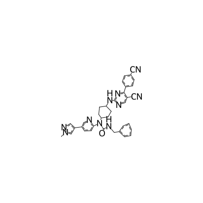 Cn1cc(-c2ccc(N(C(=O)NCc3ccccc3)C3CCC(Nc4ncc(C#N)c(-c5ccc(C#N)cc5)n4)CC3)nc2)cn1